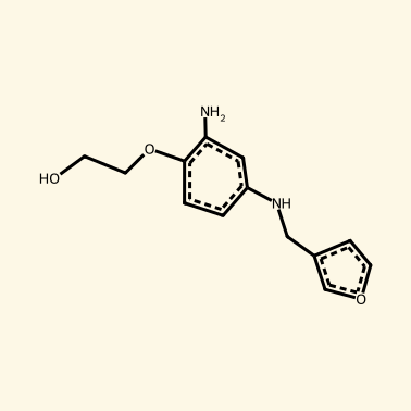 Nc1cc(NCc2ccoc2)ccc1OCCO